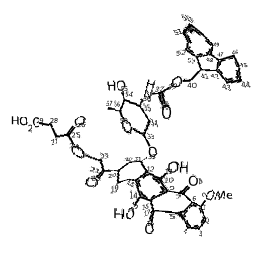 COc1cccc2c1C(=O)c1c(O)c3c(c(O)c1C2=O)C[C@@H](C(=O)COC(=O)CCC(=O)O)C[C@@H]3OC1C[C@H](NC(=O)OCC2c3ccccc3-c3ccccc32)[C@H](O)[C@H](C)O1